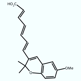 COc1ccc2c(c1)C=C(C=CC=CC=CC(=O)O)C(C)(C)O2